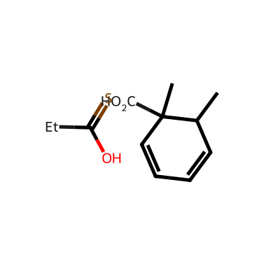 CC1C=CC=CC1(C)C(=O)O.CCC(O)=S